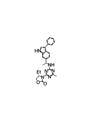 CC[C@H]1COC(=O)N1c1nc(C)nc(NC(C)c2ccc3c(-c4ccccc4)c[nH]c3c2)n1